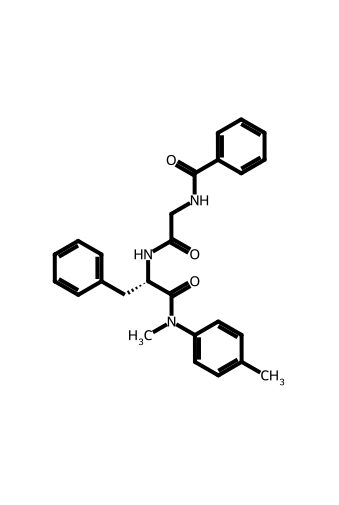 Cc1ccc(N(C)C(=O)[C@H](Cc2ccccc2)NC(=O)CNC(=O)c2ccccc2)cc1